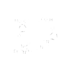 CCc1nn(CCCN2CCN(c3cccc(Cl)c3)CC2)c(=O)n1CCOc1ccccc1.O=C(O)CCCCC(=O)O